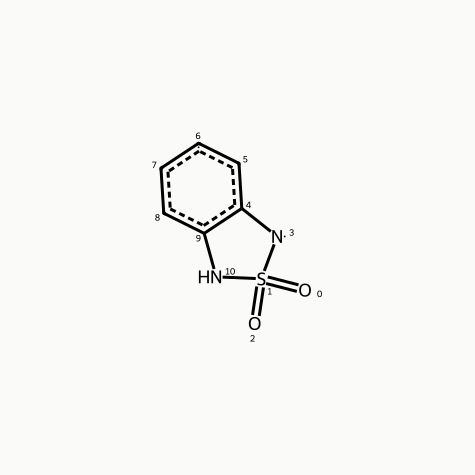 O=S1(=O)[N]c2c[c]ccc2N1